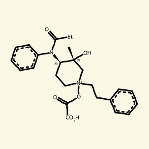 CCC(=O)N(c1ccccc1)[C@@H]1CC[N+](CCc2ccccc2)(OC(=O)C(=O)O)C[C@@]1(C)O